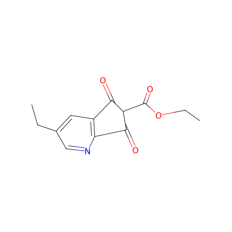 CCOC(=O)C1C(=O)c2cc(CC)cnc2C1=O